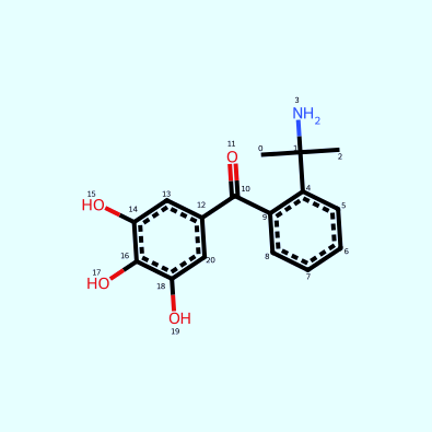 CC(C)(N)c1ccccc1C(=O)c1cc(O)c(O)c(O)c1